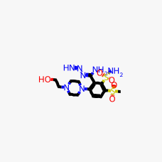 CS(=O)(=O)c1ccc(N2CCN(CCO)CC2)c(/C(N)=N/N=N)c1S(N)(=O)=O